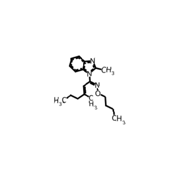 CCCCON=C(/C=C(\C)CCC)n1c(C)nc2ccccc21